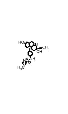 CC#C[C@@]1(O)CC[C@]2(Cc3ccc(NS(=O)(=O)c4cn(C)cn4)cc3)c3ccc(O)cc3CC[C@H]2C1